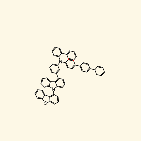 C1=CCC(c2ccc(-c3ccc(N(c4cccc(-c5cccc6c5c5ccccc5n6-c5cccc6sc7ccccc7c56)c4)c4ccccc4-c4ccccc4)cc3)cc2)C=C1